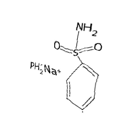 NS(=O)(=O)c1cc[c]cc1.[Na+].[PH2-]